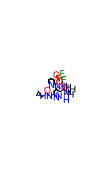 [2H]C([2H])([2H])NC(=O)c1nnc(NC(=O)[C@@H]2CC23CC3)cc1Nc1ncccc1S(=O)(=O)C(F)F